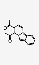 CC(=O)C1=C(C(C)=O)C2C=c3ccccc3=C2C=C1